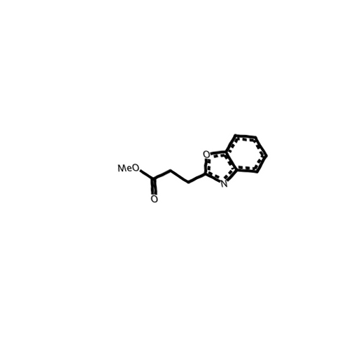 COC(=O)CCc1nc2ccccc2o1